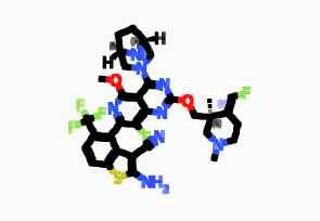 COc1nc(-c2c(C(F)(F)F)ccc3sc(N)c(C#N)c23)c(F)c2nc(OC[C@]3(C)CN(C)CC/C3=C\F)nc(N3C[C@H]4CC[C@@H](C3)N4)c12